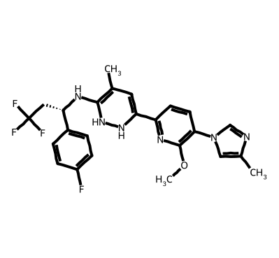 COc1nc(C2=CC(C)=C(N[C@@H](CC(F)(F)F)c3ccc(F)cc3)NN2)ccc1-n1cnc(C)c1